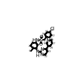 Cc1ccc(NS(=O)(=O)Cc2ccc(Cl)cc2)cc1Nc1nccc(-c2cccnc2)n1